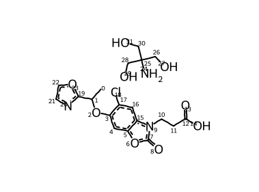 CC(Oc1cc2oc(=O)n(CCC(=O)O)c2cc1Cl)c1ncco1.NC(CO)(CO)CO